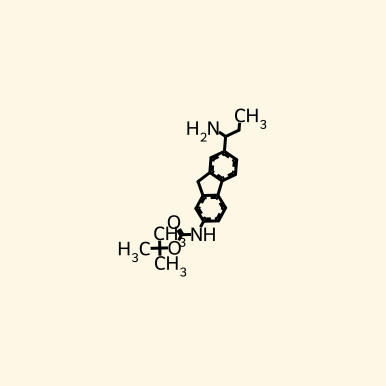 CCC(N)c1ccc2c(c1)Cc1cc(NC(=O)OC(C)(C)C)ccc1-2